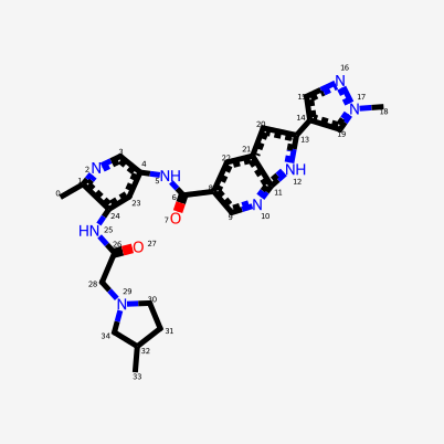 Cc1ncc(NC(=O)c2cnc3[nH]c(-c4cnn(C)c4)cc3c2)cc1NC(=O)CN1CCC(C)C1